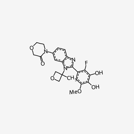 COc1cc(-c2nc3ccc(N4CCOCC4=O)cc3n2C2(C)COC2)c(F)c(O)c1O